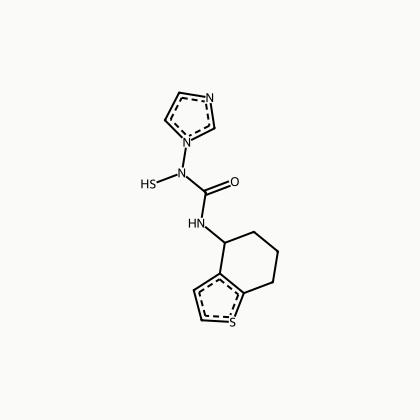 O=C(NC1CCCc2sccc21)N(S)n1ccnc1